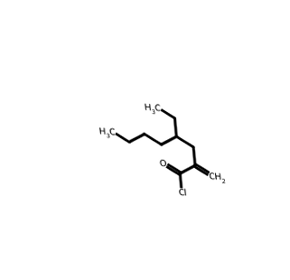 C=C(CC(CC)CCCC)C(=O)Cl